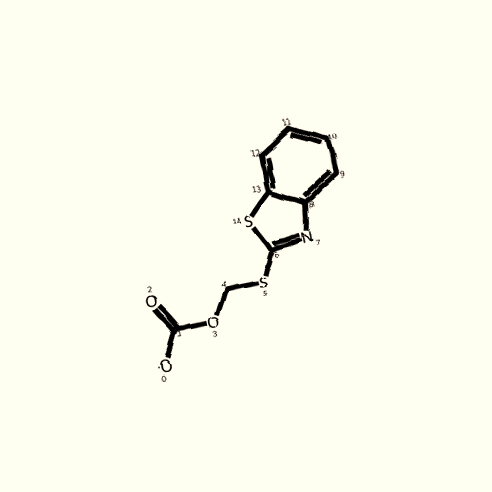 [O]C(=O)OCSc1nc2ccccc2s1